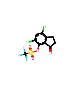 O=C1CCc2c(Cl)cc(Cl)c(OS(=O)(=O)C(F)(F)F)c21